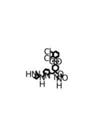 O=c1[nH]nc(C2(Cc3cccc(Nc4cc[nH]n4)n3)CCC(S(=O)(=O)c3cccc(Cl)c3Cl)CC2)o1